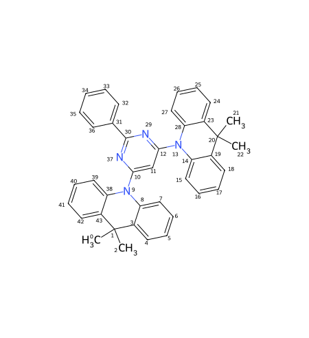 CC1(C)c2ccccc2N(c2cc(N3c4ccccc4C(C)(C)c4ccccc43)nc(-c3ccccc3)n2)c2ccccc21